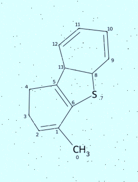 CC1=CCCC2=C1SC1C=CC=CC21